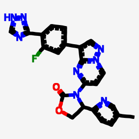 Cc1ccc(C2COC(=O)N2c2ccn3ncc(-c4ccc(-c5nc[nH]n5)c(F)c4)c3n2)nc1